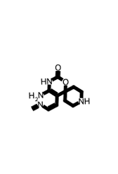 C=N/C=C\C1=C(N)NC(=O)OC12CCNCC2